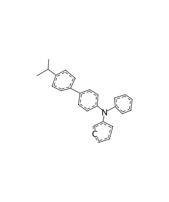 CC(C)c1ccc(-c2ccc(N(c3ccccc3)c3ccccc3)cc2)cc1